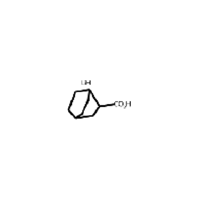 O=C(O)C1CC2CCC1CC2.[LiH]